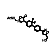 CC(=O)NC[C@H]1CN(C2=CC=C(c3ccc(C4=NOC(CO)C4)cc3)C(F)(F)C2)C(=O)O1